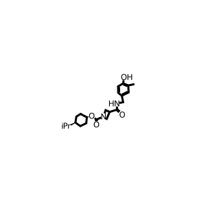 Cc1cc(CNC(=O)C2CN(C(=O)O[C@H]3CC[C@H](C(C)C)CC3)C2)ccc1O